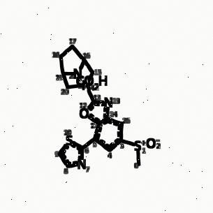 C[S+]([O-])c1cc(-c2nccs2)c2oc(N3CC4CCC(C3)N4C(=O)O)nc2c1